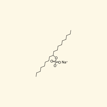 CCCCCCCCCC(CCCCCCCC)OS(=O)(=O)[O-].[Na+]